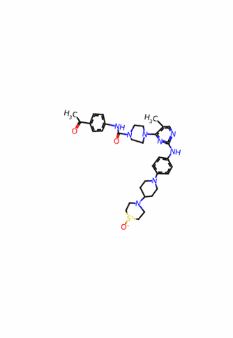 CC(=O)c1ccc(NC(=O)N2CCN(c3nc(Nc4ccc(N5CCC(N6CC[S+]([O-])CC6)CC5)cc4)ncc3C)CC2)cc1